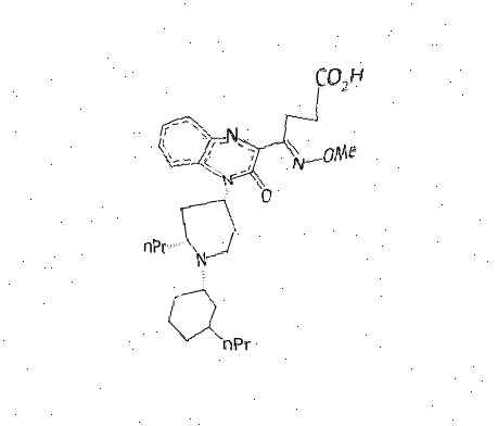 CCCC1CCC[C@H](N2CC[C@@H](n3c(=O)c(/C(CCC(=O)O)=N/OC)nc4ccccc43)C[C@H]2CCC)C1